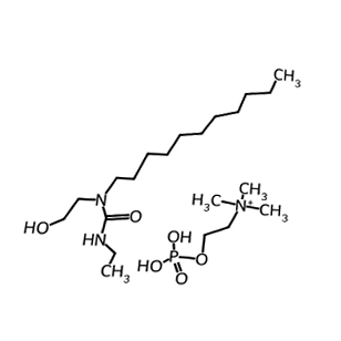 CCCCCCCCCCCN(CCO)C(=O)NCC.C[N+](C)(C)CCOP(=O)(O)O